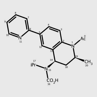 CC(=O)N1c2ccc(-c3ccccn3)cc2[C@H](N(C(=O)O)C(C)C)C[C@@H]1C